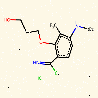 CC(C)(C)Nc1ccc(C(=N)Cl)c(OCCCO)c1C(F)(F)F.Cl